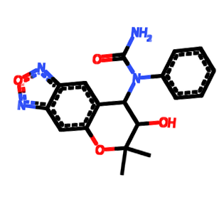 CC1(C)Oc2cc3nonc3cc2C(N(C(N)=O)c2ccccc2)C1O